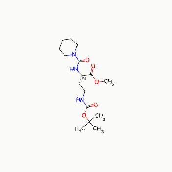 COC(=O)[C@H](CCNC(=O)OC(C)(C)C)NC(=O)N1CCCCC1